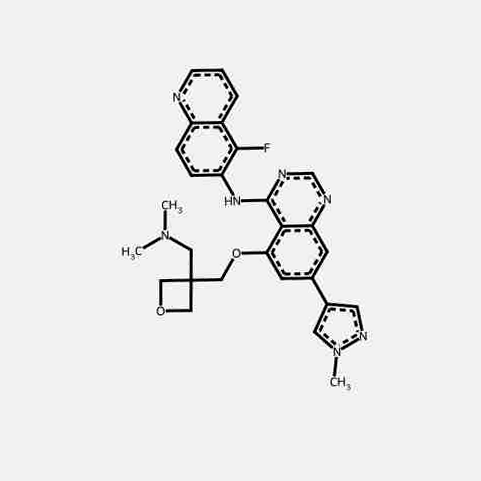 CN(C)CC1(COc2cc(-c3cnn(C)c3)cc3ncnc(Nc4ccc5ncccc5c4F)c23)COC1